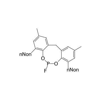 CCCCCCCCCc1cc(C)cc2c1OP(F)Oc1c(CCCCCCCCC)cc(C)cc1C2